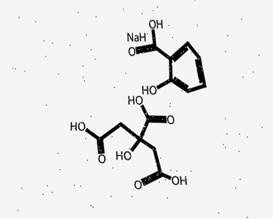 O=C(O)CC(O)(CC(=O)O)C(=O)O.O=C(O)c1ccccc1O.[NaH]